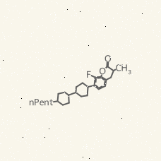 CCCCCC1CCC(C2CCC(c3ccc4c(c3F)OC(=O)C(C)C4)CC2)CC1